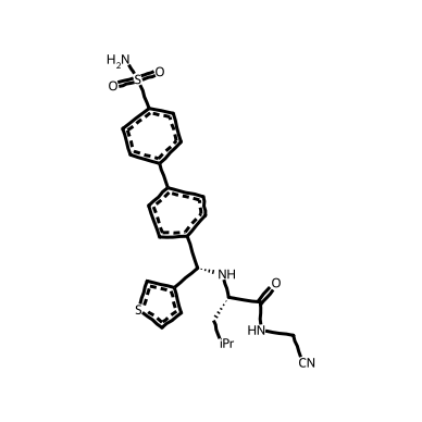 CC(C)C[C@H](N[C@@H](c1ccc(-c2ccc(S(N)(=O)=O)cc2)cc1)c1ccsc1)C(=O)NCC#N